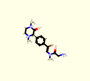 CN(C=C(Br)c1ccc([C@@H]2C(=O)N(C)CCN2C)cc1)C(=O)CN